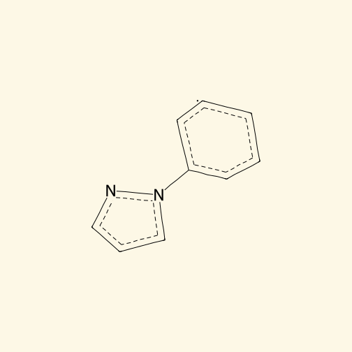 [c]1cccc(-n2cccn2)c1